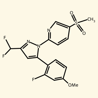 COc1ccc(-c2cc(C(F)F)nn2-c2ccc(S(C)(=O)=O)cn2)c(F)c1